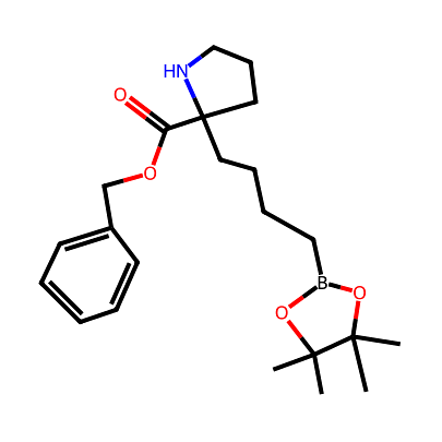 CC1(C)OB(CCCCC2(C(=O)OCc3ccccc3)CCCN2)OC1(C)C